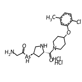 Cc1ccc(Cl)c(OC2CCN(C(=O)[C@@H]3C[C@@H]([AsH]C(=O)CN)CN3)CC2)c1.Cl.Cl